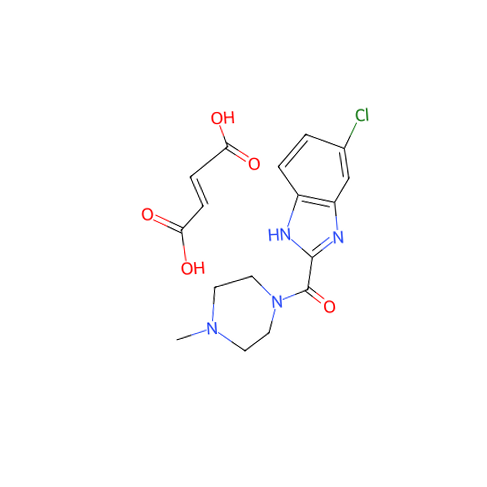 CN1CCN(C(=O)c2nc3cc(Cl)ccc3[nH]2)CC1.O=C(O)C=CC(=O)O